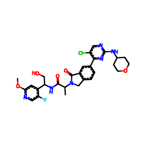 COc1cc(C(CO)NC(=O)C(C)N2Cc3ccc(-c4nc(NC5CCOCC5)ncc4Cl)cc3C2=O)c(F)cn1